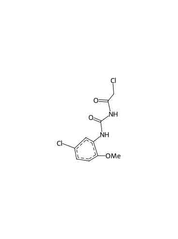 COc1ccc(Cl)cc1NC(=O)NC(=O)CCl